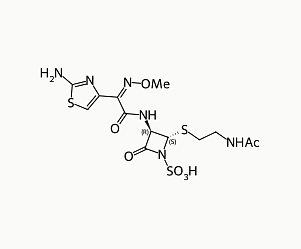 CON=C(C(=O)N[C@@H]1C(=O)N(S(=O)(=O)O)[C@H]1SCCNC(C)=O)c1csc(N)n1